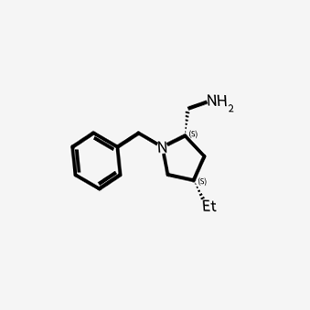 CC[C@H]1C[C@@H](CN)N(Cc2ccccc2)C1